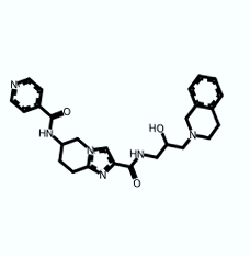 O=C(NC1CCc2nc(C(=O)NCC(O)CN3CCc4ccccc4C3)cn2C1)c1ccncc1